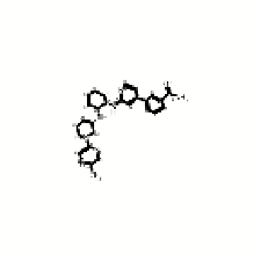 NC(=O)c1cccc(-c2ccnc(N[C@@H]3CCCC[C@H]3N[C@H]3CCCN(c4cnc(C(F)(F)F)cn4)C3)c2)c1